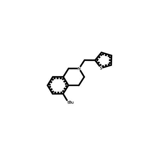 CC(C)(C)c1cccc2c1CCN(Cc1cccs1)C2